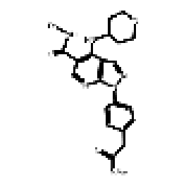 CCNC(=O)c1cnc2c(cnn2-c2ccc(CC(=O)NC)cc2)c1NC1CCOCC1